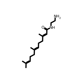 CC(C)=CCC/C(C)=C/CC/C(C)=C/C(=O)NCCN